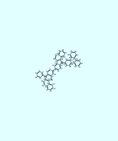 c1ccc(N2c3ccc(-c4ccc5c(c4)c4ccc6ccccc6c4n5-c4ccc5c6ccccc6c6ccccc6c5c4)cc3Sc3c2ccc2ccccc32)cc1